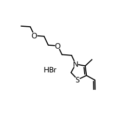 Br.C=CC1=C(C)N(CCOCCOCC)CS1